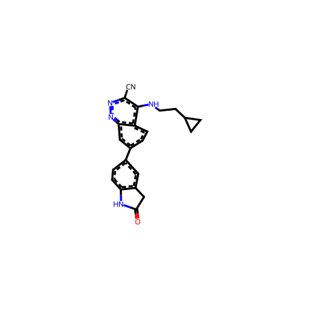 N#Cc1nnc2cc(-c3ccc4c(c3)CC(=O)N4)ccc2c1NCCC1CC1